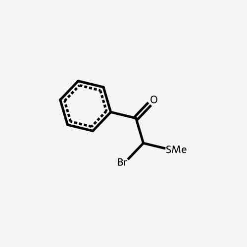 CSC(Br)C(=O)c1ccccc1